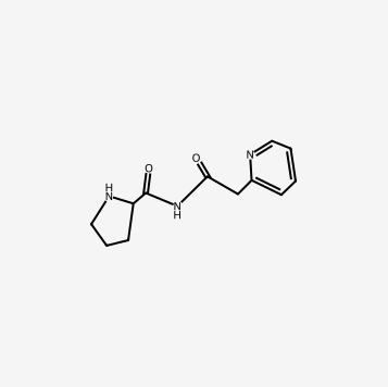 O=C(Cc1ccccn1)NC(=O)C1CCCN1